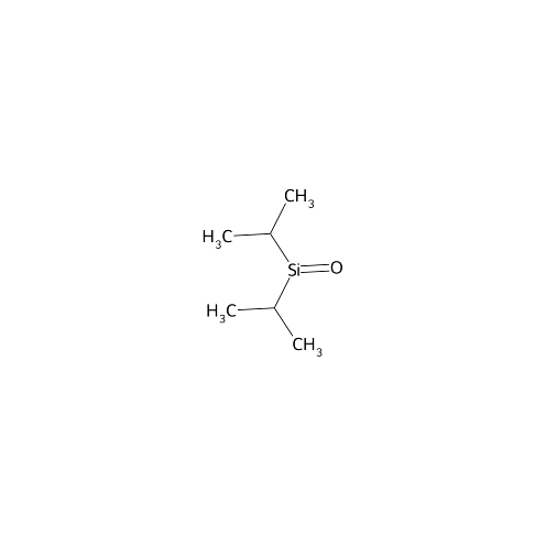 CC(C)[Si](=O)C(C)C